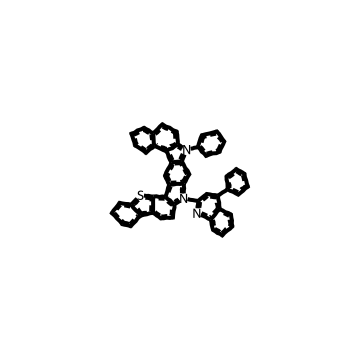 c1ccc(-c2cc(-n3c4cc5c(cc4c4c6sc7ccccc7c6ccc43)c3c4ccccc4ccc3n5-c3ccccc3)nc3ccccc23)cc1